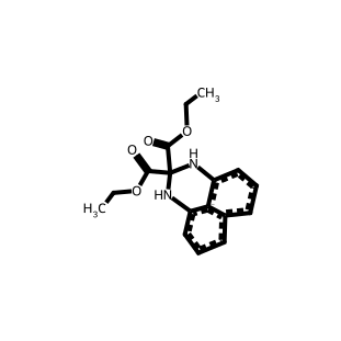 CCOC(=O)C1(C(=O)OCC)Nc2cccc3cccc(c23)N1